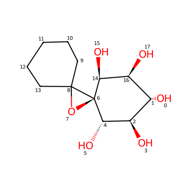 O[C@@H]1[C@@H](O)[C@H](O)[C@@]2(OC23CCCCC3)[C@@H](O)[C@H]1O